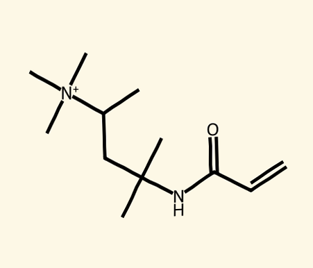 C=CC(=O)NC(C)(C)CC(C)[N+](C)(C)C